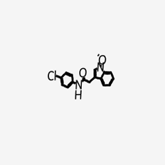 COn1cc(CC(=O)Nc2ccc(Cl)cc2)c2ccccc21